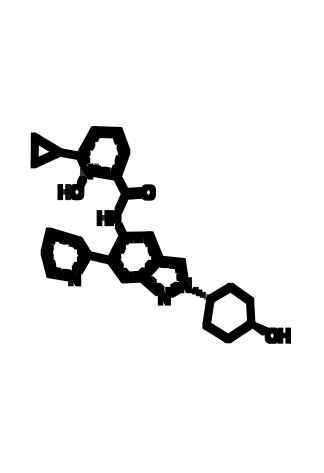 O=C(Nc1cc2cn([C@H]3CC[C@H](O)CC3)nc2cc1-c1ccccn1)c1cccc(C2CC2)[n+]1O